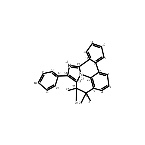 CC1(C)c2cccc3c4ccccc4c4nc(-c5ccccc5)c(n4c23)C1(C)C